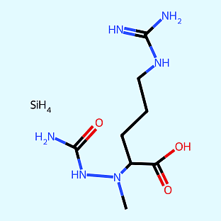 CN(NC(N)=O)C(CCCNC(=N)N)C(=O)O.[SiH4]